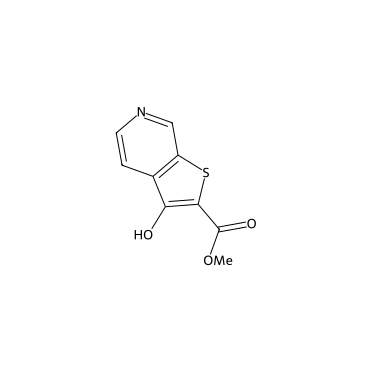 COC(=O)c1sc2cnccc2c1O